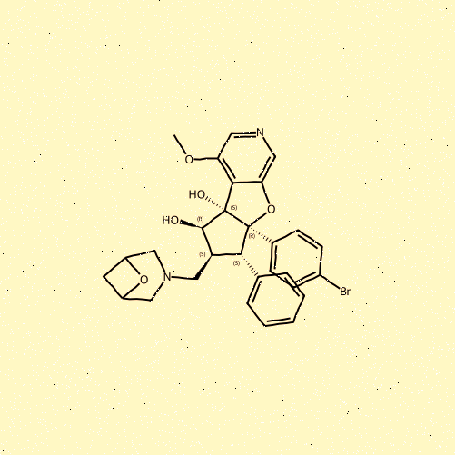 COc1cncc2c1[C@]1(O)[C@H](O)[C@H](CN3CC4CC(C3)O4)[C@@H](c3ccccc3)[C@]1(c1ccc(Br)cc1)O2